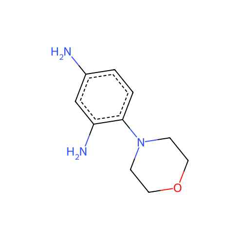 Nc1ccc(N2CCOCC2)c(N)c1